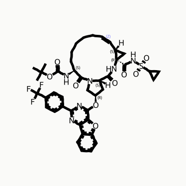 CC(C)(C)OC(=O)N[C@H]1CCCCC/C=C\[C@@H]2C[C@@]2(C(=O)NS(=O)(=O)C2CC2)NC(=O)[C@@H]2C[C@@H](Oc3nc(-c4ccc(C(F)(F)F)cc4)nc4c3oc3ccccc34)CN2C1=O